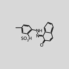 Cc1ccc(N/N=C2/C(=O)C=Cc3ccccc32)c(S(=O)(=O)O)c1